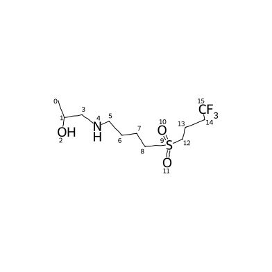 CC(O)CNCCCCS(=O)(=O)CCCC(F)(F)F